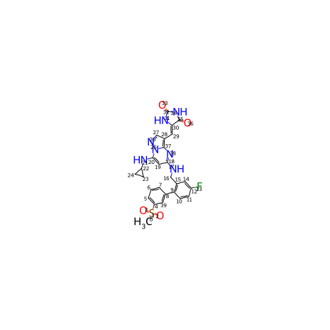 CS(=O)(=O)c1cccc(-c2ccc(F)cc2CNc2cc(NC3CC3)n3ncc(/C=C4\NC(=O)NC4=O)c3n2)c1